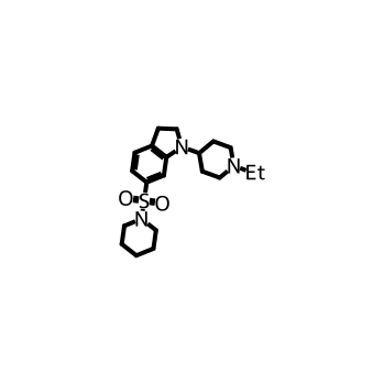 CCN1CCC(N2CCc3ccc(S(=O)(=O)N4CCCCC4)cc32)CC1